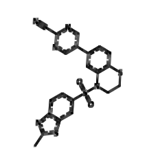 Cc1nc2ccc(S(=O)(=O)N3CCSc4ccc(-c5cnc(C#N)nc5)cc43)cc2s1